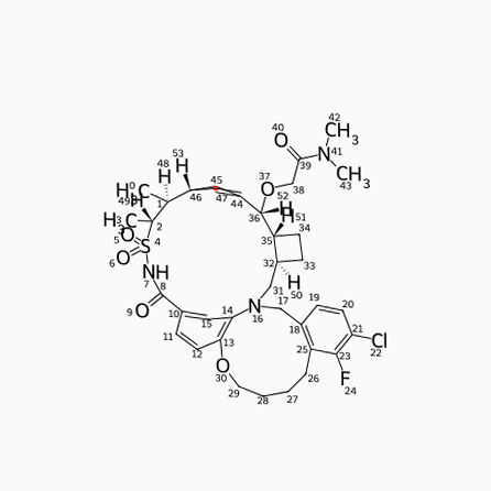 C[C@@H]1[C@@H](C)S(=O)(=O)NC(=O)c2ccc3c(c2)N(Cc2ccc(Cl)c(F)c2CCCCO3)C[C@@H]2CC[C@H]2[C@@H](OCC(=O)N(C)C)C2=C[C@H]1C2